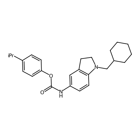 CC(C)c1ccc(OC(=O)Nc2ccc3c(c2)CCN3CC2CCCCC2)cc1